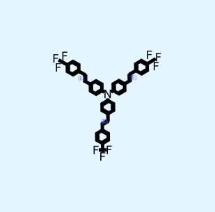 FC(F)(F)c1ccc(/C=C/c2ccc(N(c3ccc(/C=C/c4ccc(C(F)(F)F)cc4)cc3)c3ccc(/C=C/c4ccc(C(F)(F)F)cc4)cc3)cc2)cc1